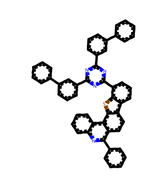 c1ccc(-c2cccc(-c3nc(-c4cccc(-c5ccccc5)c4)nc(-c4cccc5c4sc4c5ccc5c(-c6ccccc6)nc6ccccc6c54)n3)c2)cc1